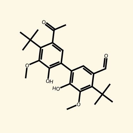 COc1c(O)c(-c2cc(C(C)=O)c(C(C)(C)C)c(OC)c2O)cc(C=O)c1C(C)(C)C